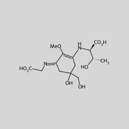 COC1=C(N[C@@H](C(=O)O)[C@H](C)O)CC(O)(CO)CC1=NCC(=O)O